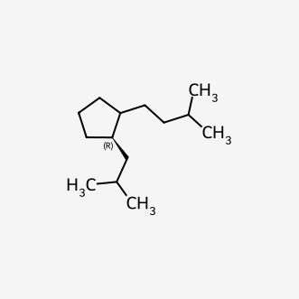 CC(C)CCC1CCC[C@@H]1CC(C)C